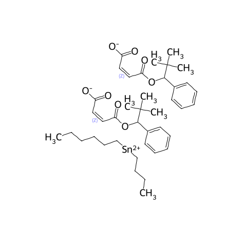 CC(C)(C)C(OC(=O)/C=C\C(=O)[O-])c1ccccc1.CC(C)(C)C(OC(=O)/C=C\C(=O)[O-])c1ccccc1.CCCCC[CH2][Sn+2][CH2]CCC